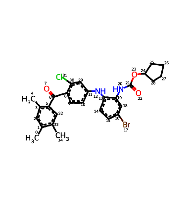 Cc1cc(C)c(C(=O)c2ccc(Nc3ccc(Br)cc3NC(=O)OC3CCCC3)cc2Cl)cc1C